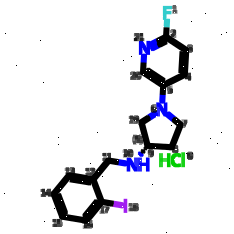 Cl.Fc1ccc(N2CC[C@H](NCc3ccccc3I)C2)cn1